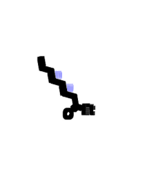 C=C/C=C/C=C/CC(=O)CC